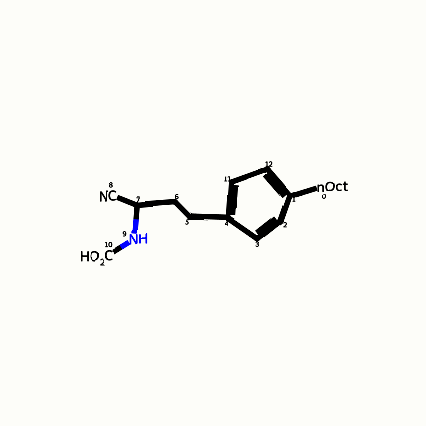 CCCCCCCCc1ccc(CCC(C#N)NC(=O)O)cc1